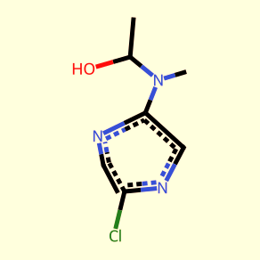 CC(O)N(C)c1cnc(Cl)cn1